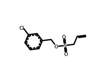 C=CCS(=O)(=O)OCc1cccc(Cl)c1